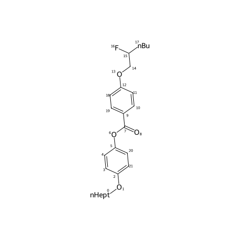 CCCCCCCOc1ccc(OC(=O)c2ccc(OCC(F)CCCC)cc2)cc1